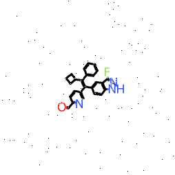 O=Cc1ccc(C(=C(c2ccccc2)C2CCC2)c2ccc3[nH]nc(F)c3c2)cn1